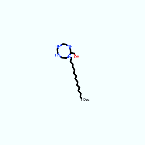 CCCCCCCCCCCCCCCCCCCCCCCCN1CCNCCNCCNCC1CO